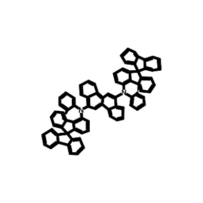 Fc1ccccc1N(c1cccc2c1-c1ccccc1C21c2ccccc2-c2ccccc21)c1cc2c3ccccc3c(N(c3ccccc3F)c3cccc4c3-c3ccccc3C43c4ccccc4-c4ccccc43)cc2c2ccccc12